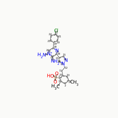 Cc1cc(C)c(S(=O)(=O)O)c(CCn2cc(-c3nc(-c4ccc(Cl)cc4)c[n+](N)c3N)cn2)c1